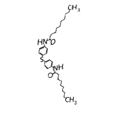 CCCCCCCCCC(=O)Nc1ccc(Sc2ccc(NC(=O)CCCCCCCCC)cc2)cc1